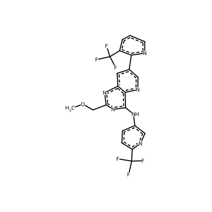 COCc1nc(Nc2ccc(C(F)(F)F)nc2)c2ncc(-c3ncccc3C(F)(F)F)cc2n1